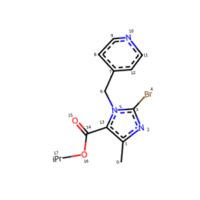 Cc1nc(Br)n(Cc2ccncc2)c1C(=O)OC(C)C